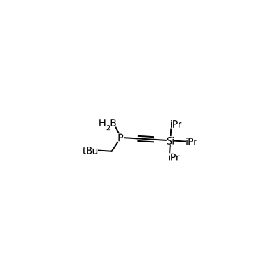 BP(C#C[Si](C(C)C)(C(C)C)C(C)C)CC(C)(C)C